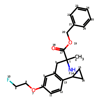 CC(N)(Cc1cc(OCCF)ccc1C1CC1)C(=O)OCc1ccccc1